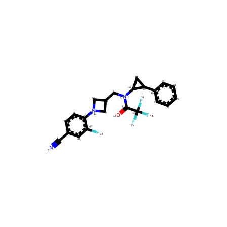 N#Cc1ccc(N2CC(CN(C(=O)C(F)(F)F)C3CC3c3ccccc3)C2)c(F)c1